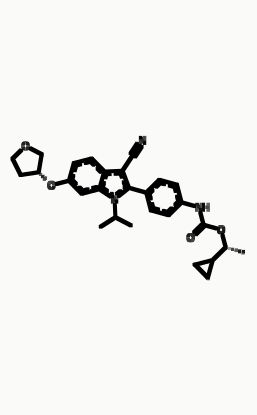 CC(C)n1c(-c2ccc(NC(=O)O[C@H](C)C3CC3)cc2)c(C#N)c2ccc(O[C@@H]3CCOC3)cc21